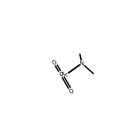 CC(=O)N(C)C.O=C=O